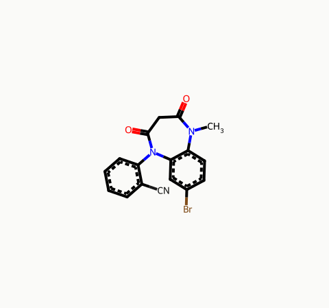 CN1C(=O)CC(=O)N(c2ccccc2C#N)c2cc(Br)ccc21